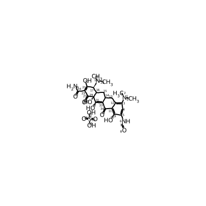 CN(C)c1cc(NC=O)c(O)c2c1CC1CC3[C@H](N(C)C)C(O)=C(C(N)=O)C(=O)[C@@]3(O)C(O)=C1C2=O.O=S(=O)(O)O